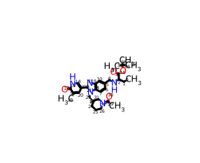 CCC(NCc1ccc2c(c1)nc(-c1c[nH]c(=O)c(C)c1)n2C[C@@H]1CCCN(C(C)=O)C1)C(=O)OC(C)(C)C